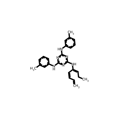 C=C/C=C\C(=C/CC)Nc1nc(Nc2cccc(C)c2)nc(Nc2cccc(C)c2)n1